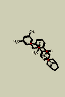 COc1cccc(C(=O)NC2CC3CCC(C2)N3c2ccc(C(=O)Nc3cc(C)cc(C)c3)cn2)c1C